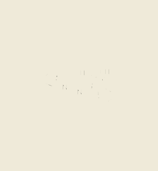 CC1(C)C=C(CN2CCN(c3ccccc3)CC2)c2ccccc2O1